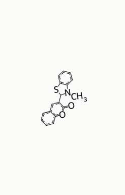 CN1c2ccccc2SC1c1cc2ccccc2oc1=O